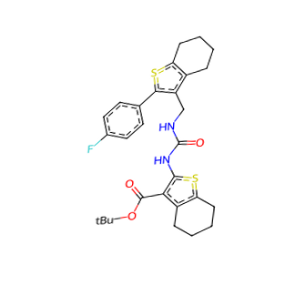 CC(C)(C)OC(=O)c1c(NC(=O)NCc2c(-c3ccc(F)cc3)sc3c2CCCC3)sc2c1CCCC2